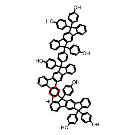 Oc1ccc(-c2cc3c(cc2-c2ccccc2-c2ccc(C4(c5ccc(O)cc5)c5ccccc5-c5cc6c(cc54)-c4ccccc4C6(c4ccc(O)cc4)c4ccc(O)cc4)cc2)C(c2ccc(O)cc2)(c2ccc(C4(c5ccc(O)cc5)c5ccccc5-c5cc6c(cc54)-c4ccccc4C6(c4ccc(O)cc4)c4ccc(O)cc4)cc2)c2ccccc2-3)cc1